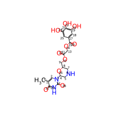 Cc1cn(C2CNCC(COC(=O)COC(=O)c3cc(O)c(O)c(O)c3)O2)c(=O)[nH]c1=O